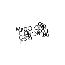 COc1ccc(-c2ccc(NS(C)(=O)=O)cc2)cc1CN(C(=O)c1sc2c(F)ccc(F)c2c1Cl)C1CCC(N(CC(C)(C)C)C(=O)O)CC1